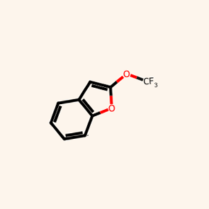 FC(F)(F)Oc1cc2ccc[c]c2o1